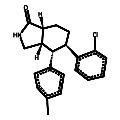 Cc1ccc([C@@H]2[C@@H]3CNC(=O)[C@@H]3CC[C@H]2c2ccccc2Cl)cc1